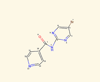 O=C(Nc1ncc(Br)cn1)c1ccncc1